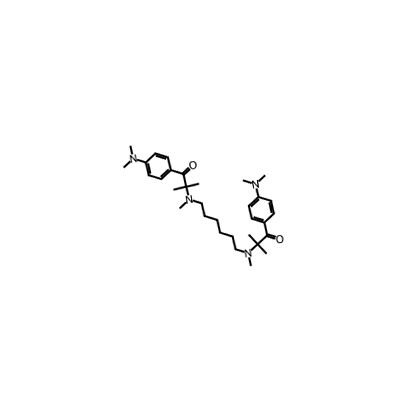 CN(C)c1ccc(C(=O)C(C)(C)N(C)CCCCCCN(C)C(C)(C)C(=O)c2ccc(N(C)C)cc2)cc1